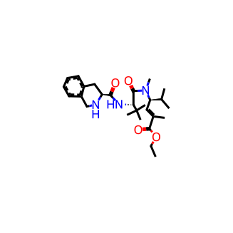 CCOC(=O)/C(C)=C/[C@H](C(C)C)N(C)C(=O)[C@@H](NC(=O)[C@@H]1Cc2ccccc2CN1)C(C)(C)C